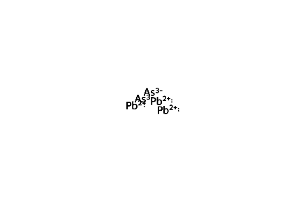 [As-3].[As-3].[Pb+2].[Pb+2].[Pb+2]